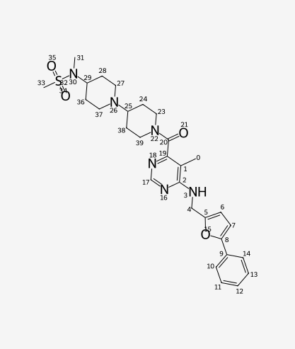 Cc1c(NCc2ccc(-c3ccccc3)o2)ncnc1C(=O)N1CCC(N2CCC(N(C)S(C)(=O)=O)CC2)CC1